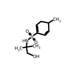 CC1C=CC(S(=O)(=O)NC(C)(C)CO)=CC1